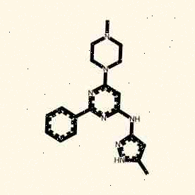 Cc1cc(Nc2cc(N3CCN(C)CC3)nc(-c3ccccc3)n2)n[nH]1